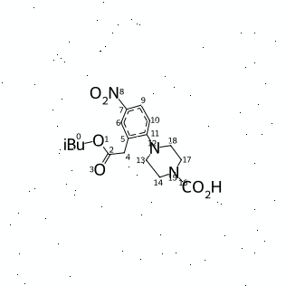 CCC(C)OC(=O)Cc1cc([N+](=O)[O-])ccc1N1CCN(C(=O)O)CC1